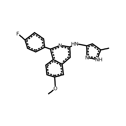 COc1ccc2c(-c3ccc(F)cc3)nc(Nc3cc(C)[nH]n3)cc2c1